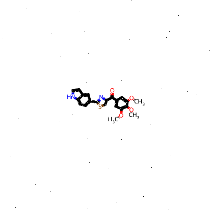 COc1cc(C(=O)C2CSC(c3ccc4[nH]ccc4c3)=N2)cc(OC)c1OC